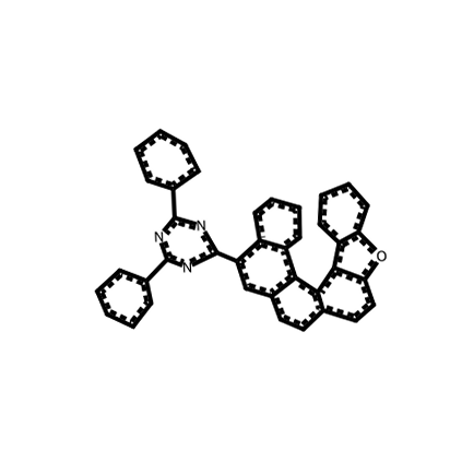 c1ccc(-c2nc(-c3ccccc3)nc(-c3cc4ccc5ccc6oc7ccccc7c6c5c4c4ccccc34)n2)cc1